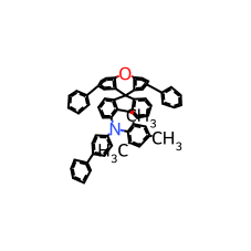 Cc1cc(C)c(N(c2ccc(-c3ccccc3)cc2)c2cccc3c2-c2ccccc2C32c3cc(-c4ccccc4)ccc3Oc3ccc(-c4ccccc4)cc32)c(C)c1